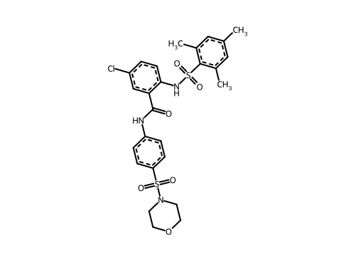 Cc1cc(C)c(S(=O)(=O)Nc2ccc(Cl)cc2C(=O)Nc2ccc(S(=O)(=O)N3CCOCC3)cc2)c(C)c1